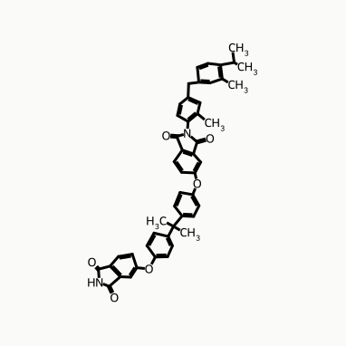 Cc1cc(Cc2ccc(N3C(=O)c4ccc(Oc5ccc(C(C)(C)c6ccc(Oc7ccc8c(c7)C(=O)NC8=O)cc6)cc5)cc4C3=O)c(C)c2)ccc1C(C)C